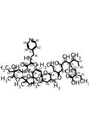 CCC(C(=O)[C@@H](C)[C@@H](O)[C@H](C)[C@@H]1O[C@@H]([C@@H](CC)C(=O)O)CC[C@@H]1C)[C@H]1O[C@]2(C=C[C@@H](NC(=O)C(=O)NCc3ccncc3)[C@]3(CC[C@@](C)([C@H]4CC[C@](O)(CC)[C@H](C)O4)O3)O2)[C@H](C)C[C@@H]1C